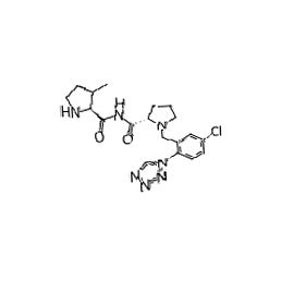 CC1CCN[C@@H]1C(=O)NC(=O)[C@@H]1CCCN1Cc1cc(Cl)ccc1-n1cnnn1